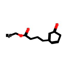 CCOC(=O)CCCC1=CC(=O)CC=C1